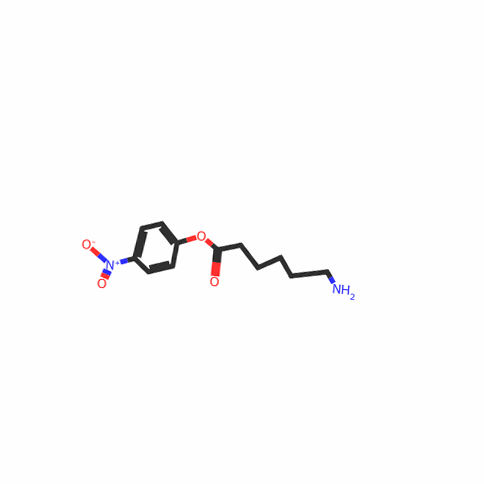 NCCCCCC(=O)Oc1ccc([N+](=O)[O-])cc1